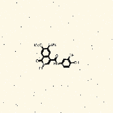 CCn1cc(C(=O)Nc2ccc(O)c(O)c2)c2cc(OC)c(OC)cc2c1=O